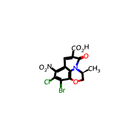 C[C@H]1COc2c(Br)c(Cl)c([N+](=O)[O-])c3cc(C(=O)O)c(=O)n1c23